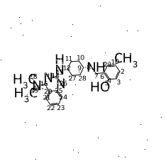 Cc1ccc(O)c(CN[C@H]2CC[C@@H](Nc3nc(N(C)C)c4ccccc4n3)CC2)c1